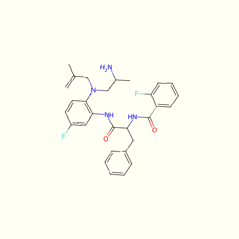 C=C(C)CN(CC(C)N)c1ccc(F)cc1NC(=O)C(Cc1ccccc1)NC(=O)c1ccccc1F